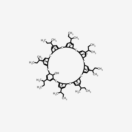 CCC(C)C1=CC2CC3=CC(C(C)CC)=CC(CC4C=C(C(C)CC)C=C(CC5=CC(C(C)CC)=CC(CC6=CC(C(C)CC)=CC(CC7C=C(C(C)CC)C=C(CC8CC(C(C)CC)C=C(CC9C=C(C(C)CC)C=C(CC(=C1)C2O)C9O)C8O)C7O)C6O)C5O)C4O)C3O